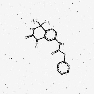 CC1(C)NC(=O)C(=O)c2cc(NC(=O)Cc3ccccc3)ccc21